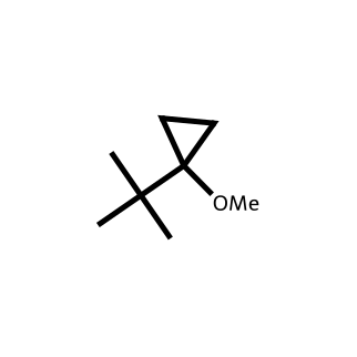 COC1(C(C)(C)C)CC1